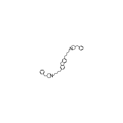 c1ccc(CC2CCN(CCCCCc3ccc4c(c3)Cc3cc(CCCCCN5CCC(Cc6ccccc6)CC5)ccc3-4)CC2)cc1